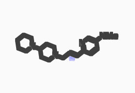 CNc1ccc(/C=C/CN2CCC(N3CCCCC3)CC2)nc1